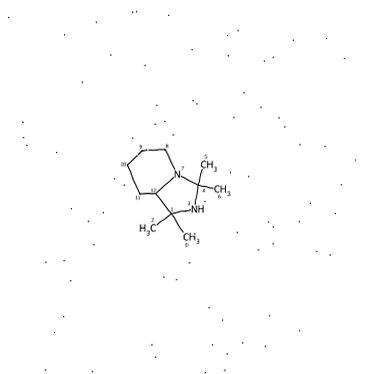 CC1(C)NC(C)(C)N2CCCCC21